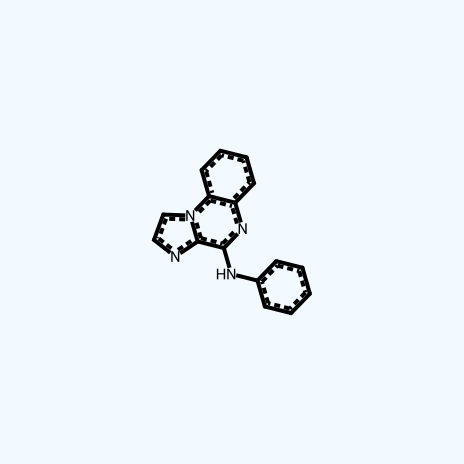 c1ccc(Nc2nc3ccccc3n3ccnc23)cc1